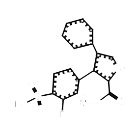 COC(=O)c1scc(-c2ccccc2)c1-c1ccc(S(C)(=O)=O)c(F)c1